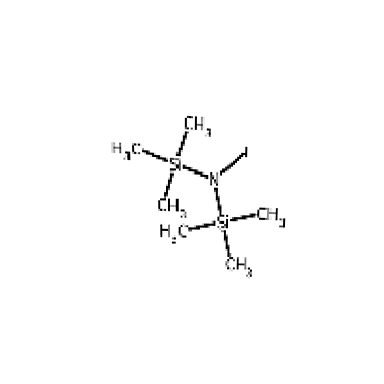 C[Si](C)(C)N(I)[Si](C)(C)C